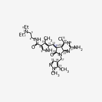 CCN(CC)CCNC(=O)c1c[nH]c(/C=C2\C(=O)N(Cc3cnn(C)c3C)c3nc(N)nc(Cl)c32)c1C